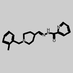 Cc1ccccc1CN1CCC(C=NNC(=O)c2ccccn2)CC1